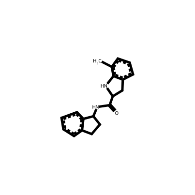 Cc1cccc2c1NC(C(=O)NC1CCc3ccccc31)C2